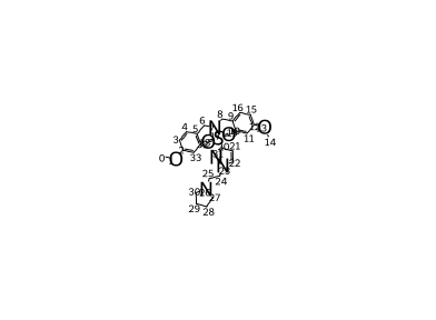 COc1ccc(CN(Cc2ccc(OC)cc2)S(=O)(=O)c2ccn(CCN3CCCC3)n2)cc1